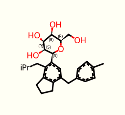 Cc1ccc(Cc2cc([C@@H]3O[C@H](CO)[C@H](O)[C@H](O)[C@@H]3O)c(CC(C)C)c3c2CCC3)cc1